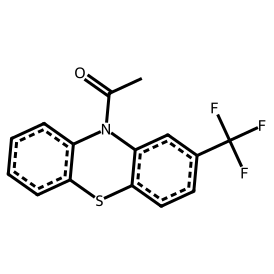 CC(=O)N1c2ccccc2Sc2ccc(C(F)(F)F)cc21